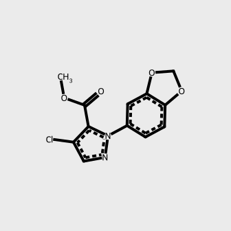 COC(=O)c1c(Cl)cnn1-c1ccc2c(c1)OCO2